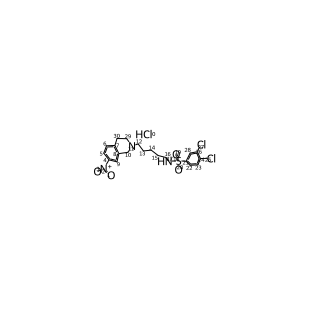 Cl.O=[N+]([O-])c1ccc2c(c1)CN(CCCCCNS(=O)(=O)c1ccc(Cl)c(Cl)c1)CC2